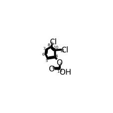 O=C(O)Oc1cccc(Cl)c1Cl